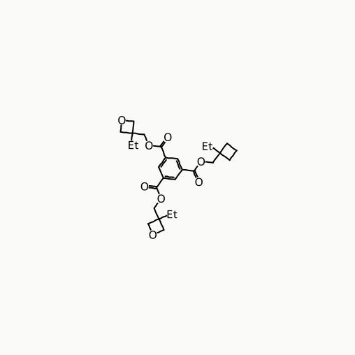 CCC1(COC(=O)c2cc(C(=O)OCC3(CC)COC3)cc(C(=O)OCC3(CC)COC3)c2)CCC1